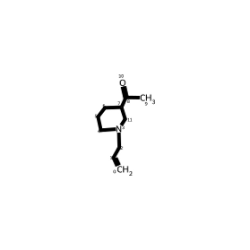 C=CCN1CCCC(C(C)=O)C1